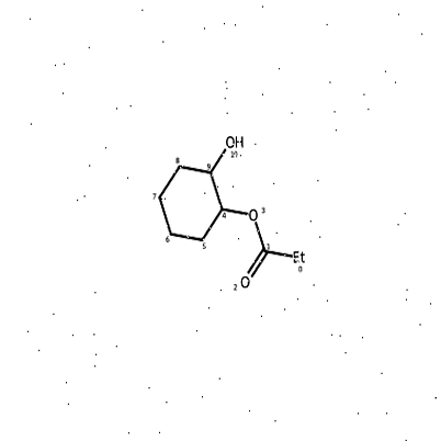 CCC(=O)OC1CCCCC1O